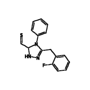 Fc1ccccc1CC1=NNC(C=S)N1c1ccccc1